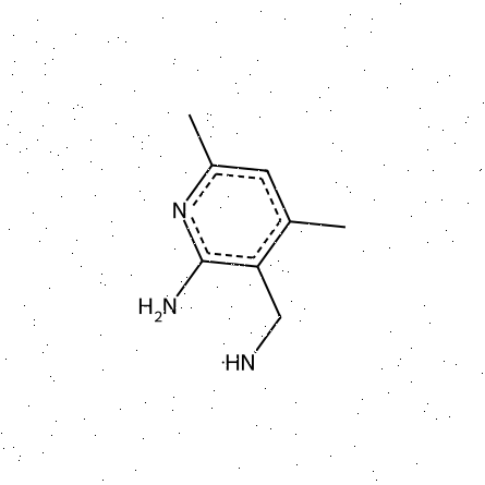 Cc1cc(C)c(C[NH])c(N)n1